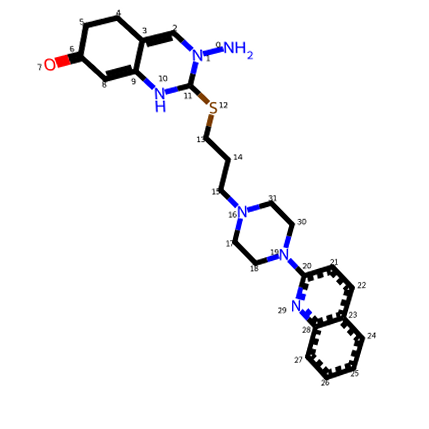 NN1C=C2CCC(=O)C=C2NC1SCCCN1CCN(c2ccc3ccccc3n2)CC1